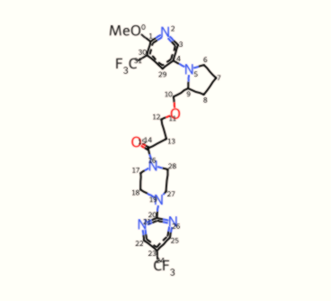 COc1ncc(N2CCCC2COCCC(=O)N2CCN(c3ncc(C(F)(F)F)cn3)CC2)cc1C(F)(F)F